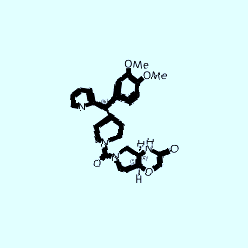 COc1ccc([C@H](c2ccccn2)C2CCN(C(=O)N3CC[C@@H]4OCC(=O)N[C@@H]4C3)CC2)cc1OC